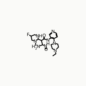 CCN1CCN(c2ccncc2NC(=O)C(C(N)N=O)C2NCC(F)CN2C)CC1